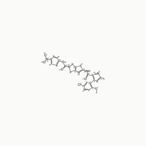 COc1cnc(Cl)cc1-c1cc(C)ncc1C(=O)Nc1nc2c(s1)CN(C(=O)Oc1ccc([N+](=O)[O-])cc1)C2